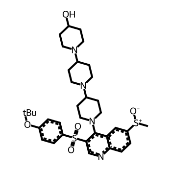 C[S+]([O-])c1ccc2ncc(S(=O)(=O)c3ccc(OC(C)(C)C)cc3)c(N3CCC(N4CCC(N5CCC(O)CC5)CC4)CC3)c2c1